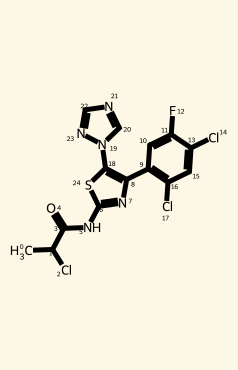 CC(Cl)C(=O)Nc1nc(-c2cc(F)c(Cl)cc2Cl)c(-n2cncn2)s1